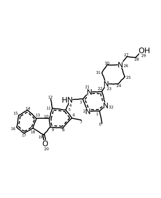 Cc1nc(Nc2c(C)cc3c(c2C)-c2ccccc2C3=O)nc(N2CCN(CCO)CC2)n1